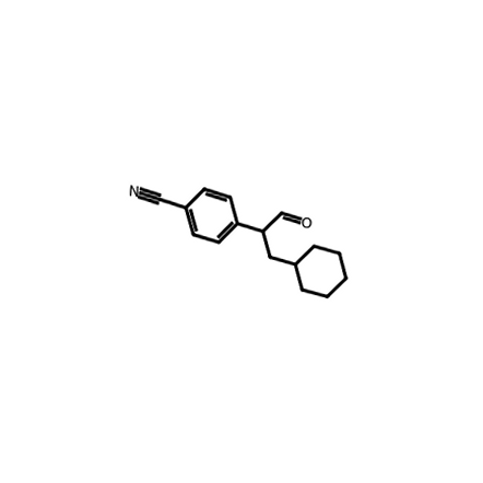 N#Cc1ccc(C(C=O)CC2CCCCC2)cc1